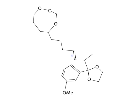 COc1cccc(C2(C(C)/C=C/CCCC3CCCOCCO3)OCCO2)c1